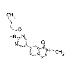 CCCCC(=O)Nc1ncc(-c2ccc3ccn(CC)c(=O)c3c2)cn1